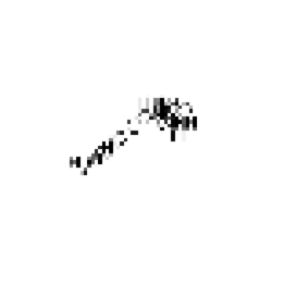 CN1CCN(C2CCN(C3CCc4ccc(Nc5ncc(Cl)c(N[C@@H]6CCCC[C@H]6NS(C)(=O)=O)n5)cc4CC3)CC2)CC1